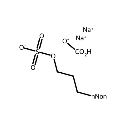 CCCCCCCCCCCCOS(=O)(=O)[O-].O=C([O-])O.[Na+].[Na+]